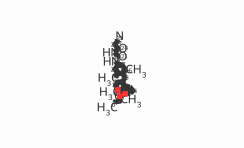 CCCC(=O)C1(C)c2c(C)ccc(Cc3c(C)cc(NC(=O)NC(=O)CC#N)cc3C)c2C2CC1C2